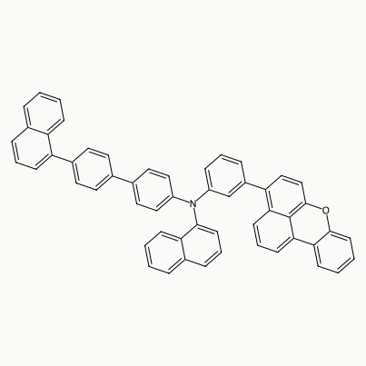 c1cc(-c2ccc3c4c(cccc24)-c2ccccc2O3)cc(N(c2ccc(-c3ccc(-c4cccc5ccccc45)cc3)cc2)c2cccc3ccccc23)c1